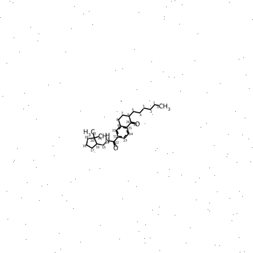 CCCCCCC1CCc2cc(C(=O)NCC3CCCC3(C)C)ccc2C1=O